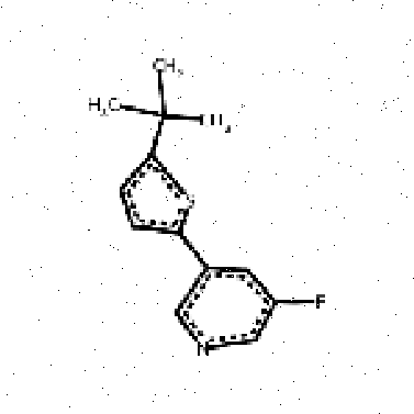 CC(C)(C)c1ccc(-c2cncc(F)c2)s1